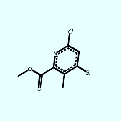 COC(=O)c1nc(Cl)cc(Br)c1C